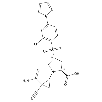 N#CC1(C(N)=O)CC1N1C[C@H](S(=O)(=O)c2ccc(-n3cccn3)cc2Cl)C[C@H]1C(=O)O